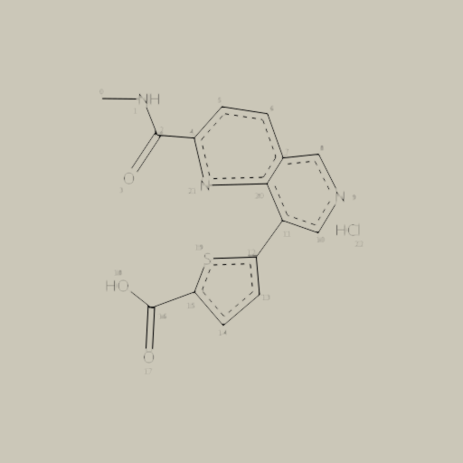 CNC(=O)c1ccc2cncc(-c3ccc(C(=O)O)s3)c2n1.Cl